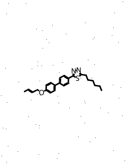 C/C=C/COc1ccc(-c2ccc(-c3nnc(CCCCCC)s3)cc2)cc1